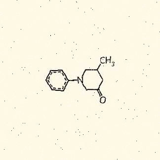 CC1CC(=O)CN(c2ccccc2)C1